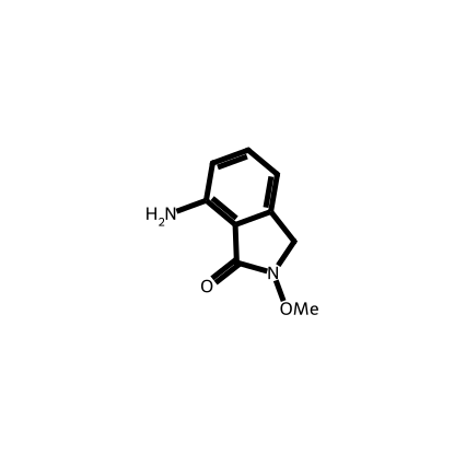 CON1Cc2cccc(N)c2C1=O